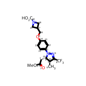 COC(=O)C[C@H]1[C@H](C)C(C(F)(F)F)=NN1c1ccc(OCC2CN(C(=O)O)C2)cc1